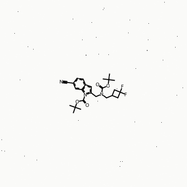 CC(C)(C)OC(=O)N(Cc1cc2ccc(C#N)cc2n1C(=O)OC(C)(C)C)CC1CC(F)(F)C1